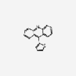 c1csc(-c2c3ccccc3nc3ccccc23)c1